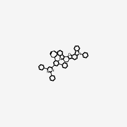 C1#CCC(c2cc(-c3cc(-c4ccccc4)nc(-c4ccccc4)n3)cc(-c3ccccc3)c2-n2c3c(c4ccccc42)-c2oc4c(ccc5c4c4ccccc4n5-c4ccccc4)c2CC3)=CC=C1